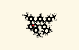 Cc1cc2c3c(c1)N(c1ccc(C(C)(C)C)cc1-c1ccccc1)c1sc4ccc(C(C)(C)C)cc4c1B3c1cc3c(cc1N2c1ccc(C(C)(C)C)cc1)C(C)(C)CCC3(C)C